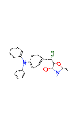 C=c1o/c(=C(\Cl)c2ccc(N(c3ccccc3)c3ccccc3)cc2)c(=O)n1C